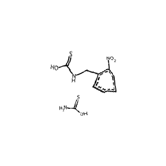 NC(O)=S.O=[N+]([O-])c1ccccc1CNC(O)=S